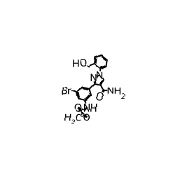 CS(=O)(=O)Nc1cc(Br)cc(-c2nn(-c3ccccc3CO)cc2C(N)=O)c1